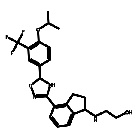 CC(C)Oc1ccc(C2NC(c3cccc4c3CCC4NCCO)=NO2)cc1C(F)(F)F